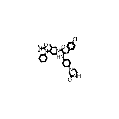 CC1CN(C(=O)[C@@H](Cc2ccc(Cl)cc2)NC2CCC(N3CCNC(=O)C3)CC2)CCC1N(C(=O)N(C)C)C1CCCCC1